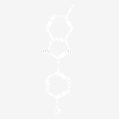 CCc1ccc(-c2nc3cc(C)ccc3[nH]2)cc1